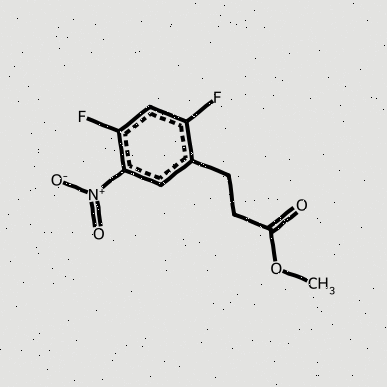 COC(=O)CCc1cc([N+](=O)[O-])c(F)cc1F